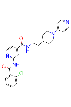 O=C(NCCC1CCN(c2ccncc2)CC1)c1ccnc(NC(=O)c2ccccc2Cl)c1